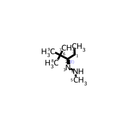 CC/C(=N\NC)C(C)(C)C